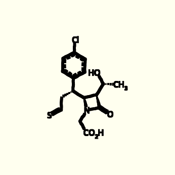 C[C@@H](O)[C@H]1C(=O)N(CC(=O)O)[C@H]1[C@H](CC=S)c1ccc(Cl)cc1